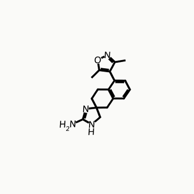 Cc1noc(C)c1-c1cccc2c1CCC1(CNC(N)=N1)C2